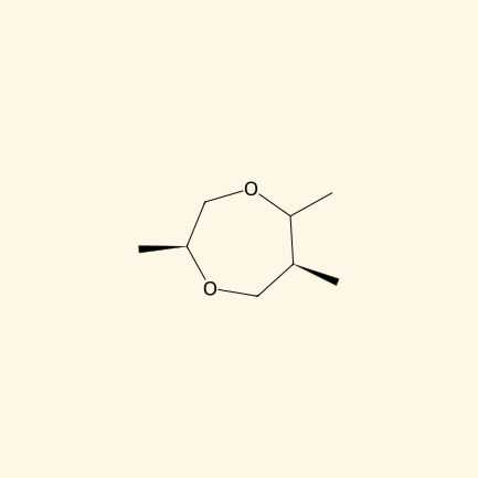 CC1OC[C@H](C)OC[C@@H]1C